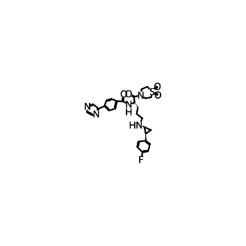 O=C(N[C@@H](CCCN[C@@H]1C[C@H]1c1ccc(F)cc1)C(=O)N1CCS(=O)(=O)CC1)c1ccc(-c2cnccn2)cc1